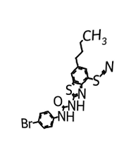 CCCCc1cc(SC#N)c2nc(NC(=O)Nc3ccc(Br)cc3)sc2c1